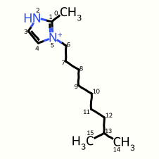 Cc1[nH]cc[n+]1CCCCCCCC(C)C